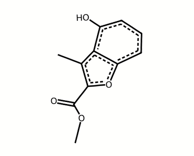 COC(=O)c1oc2cccc(O)c2c1C